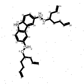 C=CCCC(CC=C)O[SiH2]c1ccc2[nH]c3ccc([SiH2]OC(CC=C)CCC=C)cc3c2c1